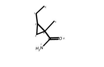 CCC1CC1(C)C(N)=O